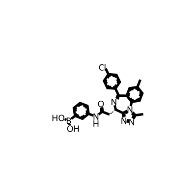 Cc1ccc2c(c1)C(c1ccc(Cl)cc1)=N[C@@H](CC(=O)Nc1cccc(B(O)O)c1)c1nnc(C)n1-2